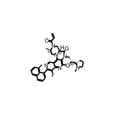 C=CC(=O)N1C[C@@H]2C(=O)N3C[C@H]([C@@H]4CCCN4C)Oc4nc5c(F)c(-c6cccc7cccc(C)c67)ncc5c(c43)N2C[C@H]1C